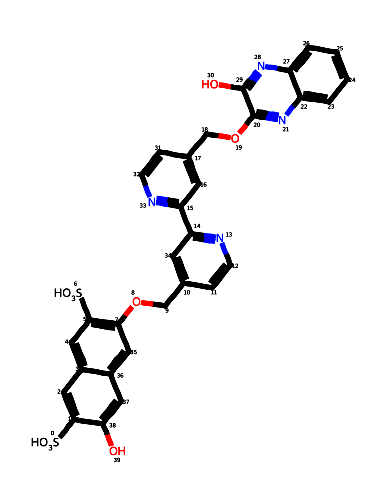 O=S(=O)(O)c1cc2cc(S(=O)(=O)O)c(OCc3ccnc(-c4cc(COc5nc6ccccc6nc5O)ccn4)c3)cc2cc1O